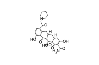 NC(=O)C1=C(O)C[C@@H]2C[C@@H]3Cc4c(C(=O)CN5CCCCC5)ccc(O)c4C(=O)C3=C(O)[C@]2(O)C1=O